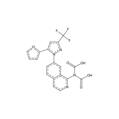 O=C(O)N(C(=O)O)c1nccc2ccc(-n3nc(C(F)(F)F)cc3-c3ccco3)cc12